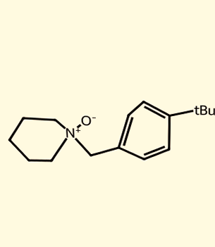 CC(C)(C)c1ccc(C[N+]2([O-])CCCCC2)cc1